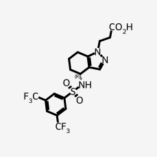 O=C(O)CCn1ncc2c1CCC[C@H]2NS(=O)(=O)c1cc(C(F)(F)F)cc(C(F)(F)F)c1